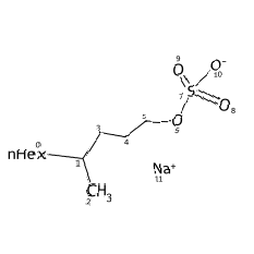 CCCCCCC(C)CCCOS(=O)(=O)[O-].[Na+]